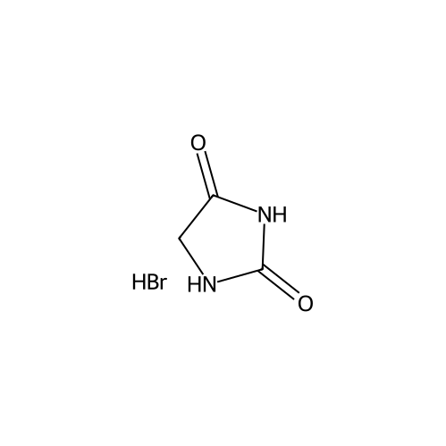 Br.O=C1CNC(=O)N1